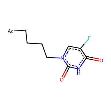 CC(=O)CCCCn1cc(F)c(=O)[nH]c1=O